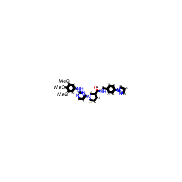 COc1cc(Nc2nccc(N3CCCC(C(=O)NCc4ccc(-n5cccn5)cc4)C3)n2)cc(OC)c1OC